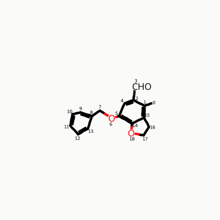 Cc1c(C=O)cc(OCc2ccccc2)c2c1CCO2